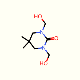 CC1(C)[CH]N(CO)C(=O)N(CO)C1